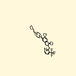 COCCN1CCN(c2cc3c(cc2OC)C(=O)C(Cc2ncccc2C(F)(F)F)C3)CC1